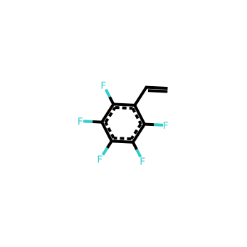 C=Cc1c(F)c(F)c(F)c(F)c1F